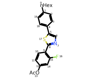 CCCCCCc1ccc(-c2cnc(-c3ccc(OC(C)=O)cc3F)s2)cc1